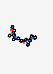 c1ccc2c(c1)oc1c2ccc2c3cc4c(c5cccc6c7cc(-c8ccc9oc%10c(ccc%11c%12c%13c%14cccc%15c%16ccccc%16n(c%13cc%13c%16ccccc%16n(c%11%10)c%13%12)c%15%14)c9c8)ccc7n4c65)c4c5ccccc5n(c21)c34